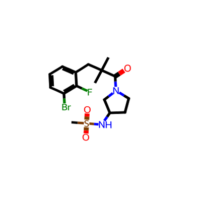 CC(C)(Cc1cccc(Br)c1F)C(=O)N1CCC(NS(C)(=O)=O)C1